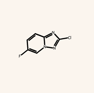 Fc1ccc2nc(Cl)nn2c1